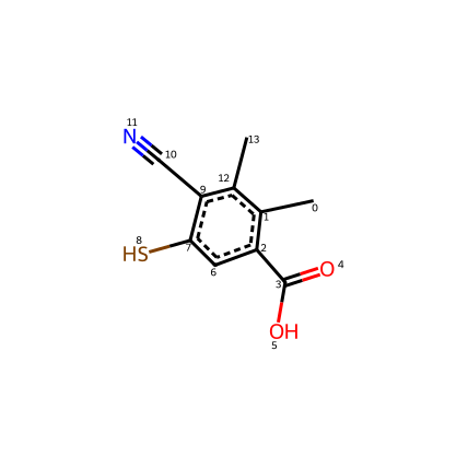 Cc1c(C(=O)O)cc(S)c(C#N)c1C